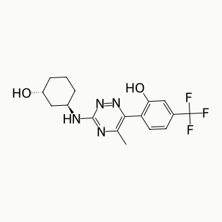 Cc1nc(N[C@@H]2CCC[C@@H](O)C2)nnc1-c1ccc(C(F)(F)F)cc1O